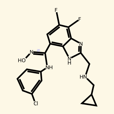 O/N=C(\Nc1cccc(Cl)c1)c1cc(F)c(F)c2nc(CNCC3CC3)[nH]c12